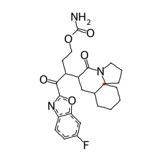 NC(=O)OCCC(C(=O)c1nc2ccc(F)cc2o1)C(CC1CCCCC1)C(=O)N1CCCC1